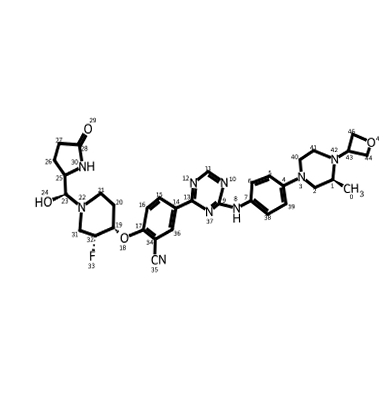 C[C@H]1CN(c2ccc(Nc3ncnc(-c4ccc(O[C@H]5CCN([C@@H](O)C6CCC(=O)N6)C[C@H]5F)c(C#N)c4)n3)cc2)CCN1C1COC1